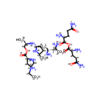 CC(C)[C@H](N)C(=O)O.NC(=O)CC[C@H](N)C(=O)OC(=O)[C@@H](N)CCC(N)=O.NCC(=O)O.NCC(=O)O.N[C@@H](COC(=O)[C@@H]1CCCN1)C(=O)O.O=C(O)[C@@H]1CCCN1